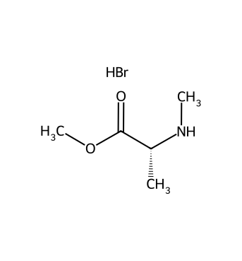 Br.CN[C@H](C)C(=O)OC